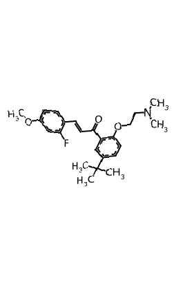 COc1ccc(/C=C/C(=O)c2cc(C(C)(C)C)ccc2OCCN(C)C)c(F)c1